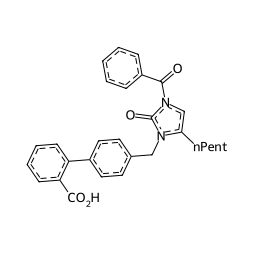 CCCCCc1cn(C(=O)c2ccccc2)c(=O)n1Cc1ccc(-c2ccccc2C(=O)O)cc1